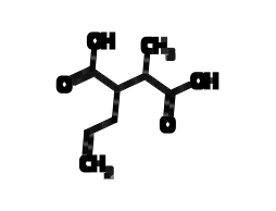 C=CCC(C(=O)O)C(C)C(=O)O